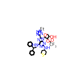 CCn1nnc(-c2nc3c(NCC(c4ccccc4)c4ccccc4)nc(NC4CCSCC4)nc3n2[C@@H]2OC[C@H](O)[C@H]2OC(=O)C(F)(F)F)n1